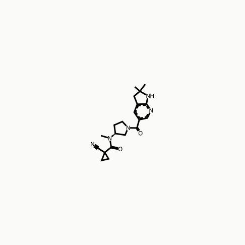 CN(C(=O)C1(C#N)CC1)[C@H]1CCN(C(=O)c2cnc3c(c2)CC(C)(C)N3)C1